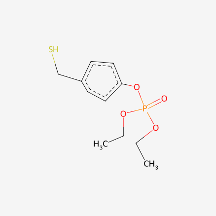 CCOP(=O)(OCC)Oc1ccc(CS)cc1